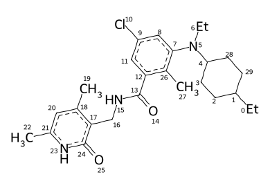 CCC1CCC(N(CC)c2cc(Cl)cc(C(=O)NCc3c(C)cc(C)[nH]c3=O)c2C)CC1